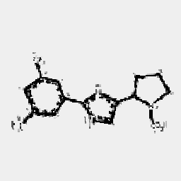 O=C(O)N1CCCC1c1c[nH]c(-c2cc(C(F)(F)F)cc(C(F)(F)F)c2)n1